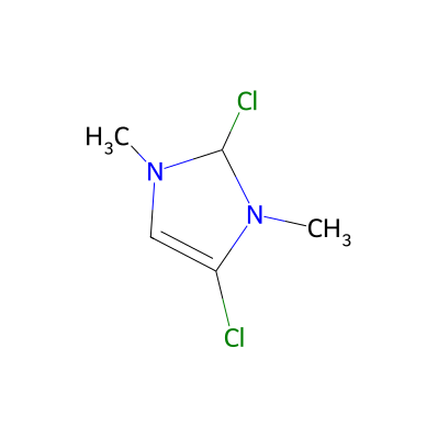 CN1C=C(Cl)N(C)C1Cl